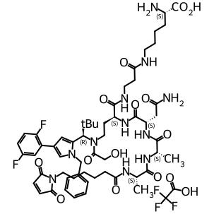 C[C@H](NC(=O)CCCCCN1C(=O)C=CC1=O)C(=O)N[C@@H](C)C(=O)N[C@@H](CC(N)=O)C(=O)N[C@@H](CCN(C(=O)CO)[C@@H](c1cc(-c2cc(F)ccc2F)cn1Cc1ccccc1)C(C)(C)C)C(=O)NCCC(=O)NCCCC[C@H](N)C(=O)O.O=C(O)C(F)(F)F